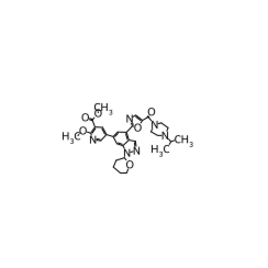 COC(=O)c1cc(-c2cc(-c3ncc(C(=O)N4CCN(C(C)C)CC4)o3)c3cnn(C4CCCCO4)c3c2)cnc1OC